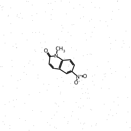 Cn1c(=O)ccc2cc([N+](=O)[O-])ccc21